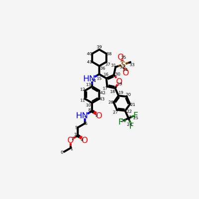 CCOC(=O)CCNC(=O)c1ccc(NC(c2cc(-c3ccc(C(F)(F)F)cc3)oc2CS(C)(=O)=O)C2CCCCC2)cc1